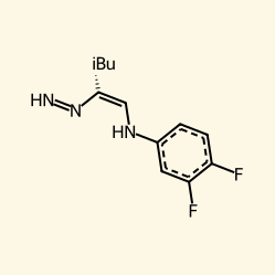 CC[C@@H](C)/C(=C/Nc1ccc(F)c(F)c1)N=N